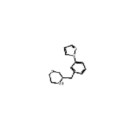 c1cc(C[C@@H]2COCCN2)cc(-n2cccn2)c1